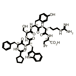 CC(C)C[C@H](NC(=O)[C@@H](CCCNC(=N)N)NC(=O)[C@H](Cc1ccc(O)cc1)NC(=O)[C@H](CO)NC(=O)[C@H](Cc1c[nH]c2ccccc12)NC(=O)[C@H](Cc1ccccc1)NC(=O)C1CCCC1)C(=O)O